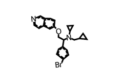 Brc1ccc(C(COc2ccc3cnccc3c2)N(CC2CC2)C2CC2)cc1